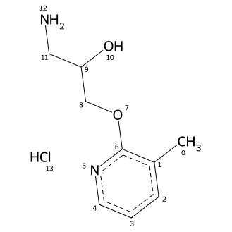 Cc1cccnc1OCC(O)CN.Cl